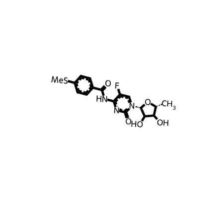 CSc1ccc(C(=O)Nc2nc(=O)n([C@@H]3O[C@H](C)C(O)C3O)cc2F)cc1